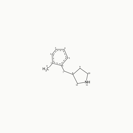 Cc1ccccc1CC1CCNC1